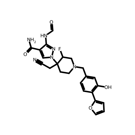 N#CCC1(n2cc(C(N)=O)c(NC=O)n2)CCN(Cc2ccc(-c3ccco3)c(O)c2)CC1F